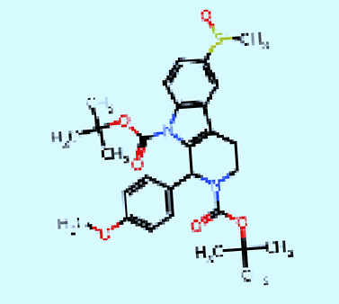 COc1ccc(C2c3c(c4cc([S+](C)[O-])ccc4n3C(=O)OC(C)(C)C)CCN2C(=O)OC(C)(C)C)cc1